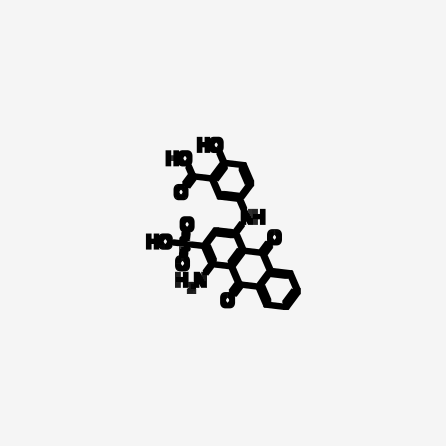 Nc1c(S(=O)(=O)O)cc(Nc2ccc(O)c(C(=O)O)c2)c2c1C(=O)c1ccccc1C2=O